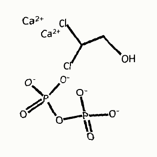 O=P([O-])([O-])OP(=O)([O-])[O-].OCC(Cl)Cl.[Ca+2].[Ca+2]